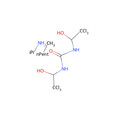 CC(C)N.CCCCCC.O=C(NC(O)C(Cl)(Cl)Cl)NC(O)C(Cl)(Cl)Cl